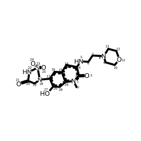 Cn1c(=O)c(NCCN2CCOCC2)cc2cc(N3CC(=O)NS3(=O)=O)c(O)cc21